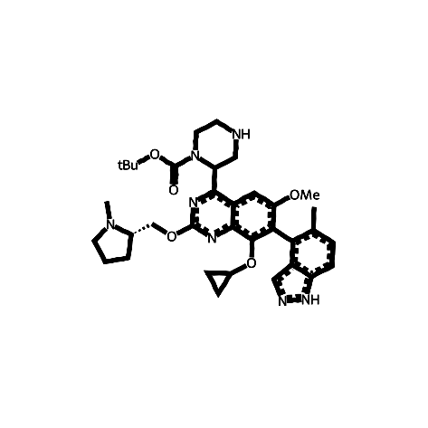 COc1cc2c(C3CNCCN3C(=O)OC(C)(C)C)nc(OC[C@@H]3CCCN3C)nc2c(OC2CC2)c1-c1c(C)ccc2[nH]ncc12